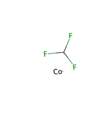 F[C](F)F.[Co]